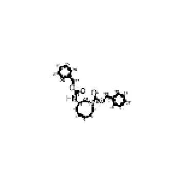 O=C(N[C@H]1C/C=C\CCN(C(=O)OCc2ccccc2)C1)OCc1ccccc1